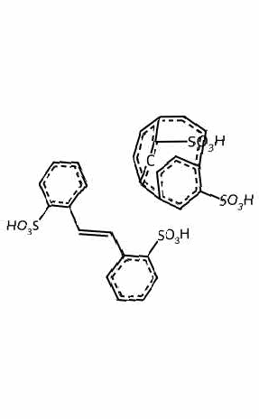 O=S(=O)(O)c1cc2ccc1ccc1ccc2cc1S(=O)(=O)O.O=S(=O)(O)c1ccccc1C=Cc1ccccc1S(=O)(=O)O